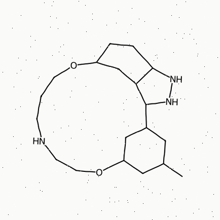 CC1CC2CC(C1)C1NNC3CCC(CC31)OCCCNCCO2